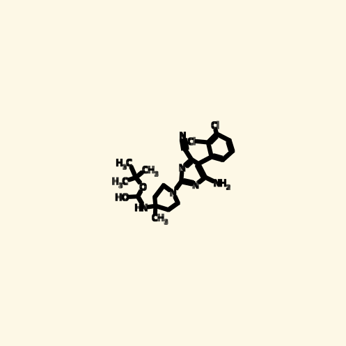 CC1(NC(O)OC(C)(C)C)CCN(c2nc(N)c(-c3cccc(Cl)c3Cl)c(C#N)n2)CC1